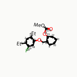 CCc1cc(CC)c(OCc2ccccc2OC(=O)OC)cc1F